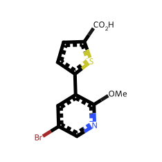 COc1ncc(Br)cc1-c1ccc(C(=O)O)s1